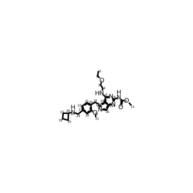 CCOCCNc1nc(NC(=O)OC)nc2cnn(Cc3ccc(CNC4CCC4)cc3OC)c12